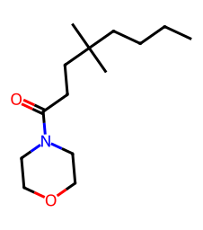 CCCCC(C)(C)CCC(=O)N1CCOCC1